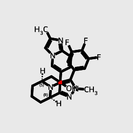 Cc1cn2cc(C(O)N3[C@H]4CCC[C@@H]3c3nn(C)c(-c5cc(F)c(F)c(F)c5)c3C4)ccc2n1